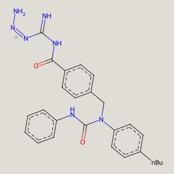 CCCCc1ccc(N(Cc2ccc(C(=O)NC(=N)/N=N\N)cc2)C(=O)Nc2ccccc2)cc1